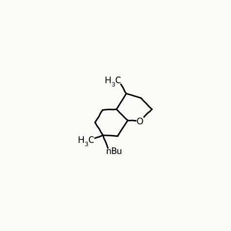 CCCCC1(C)CCC2C(C)CCOC2C1